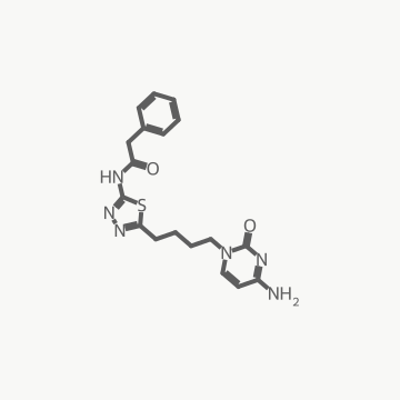 Nc1ccn(CCCCc2nnc(NC(=O)Cc3ccccc3)s2)c(=O)n1